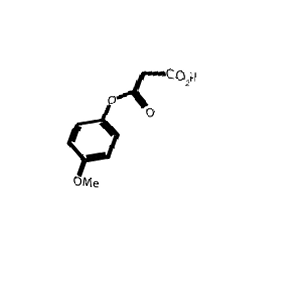 COc1ccc(OC(=O)CC(=O)O)cc1